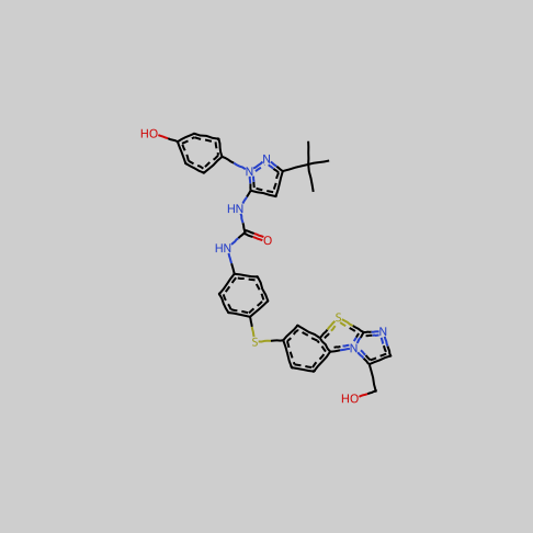 CC(C)(C)c1cc(NC(=O)Nc2ccc(Sc3ccc4c(c3)sc3ncc(CO)n34)cc2)n(-c2ccc(O)cc2)n1